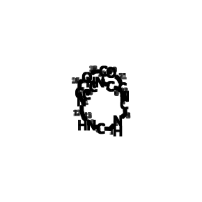 C1CNCCN2CCNCCN(CCN1)CCOCCOCC2